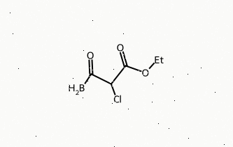 BC(=O)C(Cl)C(=O)OCC